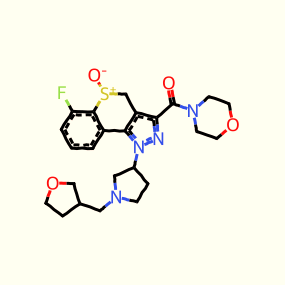 O=C(c1nn(C2CCN(CC3CCOC3)C2)c2c1C[S+]([O-])c1c(F)cccc1-2)N1CCOCC1